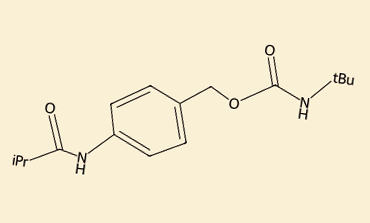 CC(C)C(=O)Nc1ccc(COC(=O)NC(C)(C)C)cc1